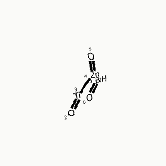 [O]=[BiH].[O]=[Ti][Zn]=[O]